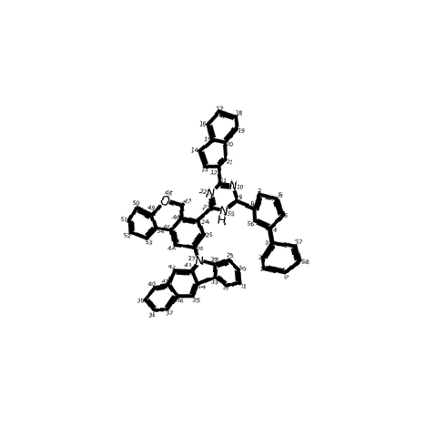 c1ccc(-c2cccc(C3N=C(c4ccc5ccccc5c4)N=C(c4cc(-n5c6ccccc6c6cc7ccccc7cc65)cc5c4COc4ccccc4-5)N3)c2)cc1